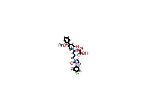 CC(C)Oc1ccccc1C1=CCN(CCCCN2CCN(c3ccc(F)cc3)C2=O)CC1.O=C(O)C(=O)O